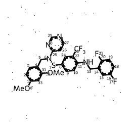 COc1ccc(CN(Sc2ccc(NCc3cc(F)ccc3F)c(C(F)(F)F)c2)c2ccncn2)c(OC)c1